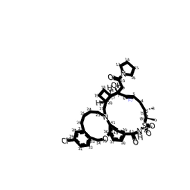 C[C@@H]1[C@@H](C)C/C=C/[C@@](O)(CC(=O)N2CCCC2)[C@@H]2CC[C@H]2CN2CCCCc3cc(Cl)ccc3COc3ccc(cc32)C(=O)NS1(=O)=O